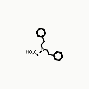 CC(=O)O.CN(CCc1ccccc1)CCc1ccccc1